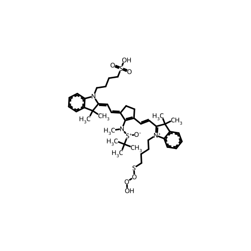 CN(C1=C(/C=C/C2=[N+](CCCCSOOO)c3ccccc3C2(C)C)CC/C1=C\C=C1\N(CCCCS(=O)(=O)O)c2ccccc2C1(C)C)[S+]([O-])C(C)(C)C